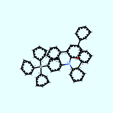 c1ccc(-c2ccc(N(c3ccc([Si](c4ccccc4)(c4ccccc4)c4ccccc4)cc3)c3ccccc3-c3ccccc3)c(-c3ccccc3)c2)cc1